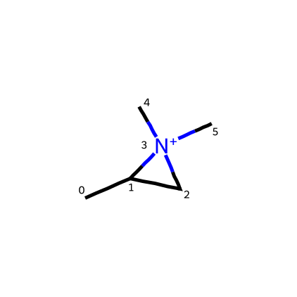 CC1C[N+]1(C)C